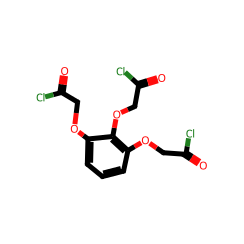 O=C(Cl)COc1cccc(OCC(=O)Cl)c1OCC(=O)Cl